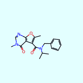 Cc1oc2ncn(C)c(=O)c2c1C(=O)N(Cc1ccccc1)C(C)C